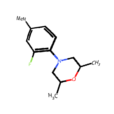 CNc1ccc(N2CC(C)OC(C)C2)c(F)c1